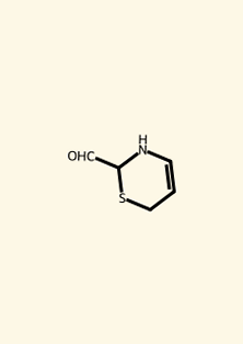 O=CC1NC=CCS1